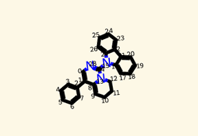 C1=C(c2ccccc2)C2=CCCCN2C(n2c3ccccc3c3ccccc32)=N1